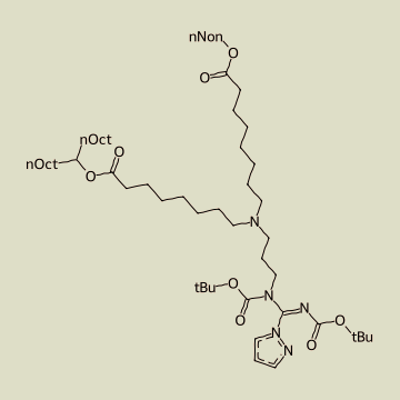 CCCCCCCCCOC(=O)CCCCCCCN(CCCCCCCC(=O)OC(CCCCCCCC)CCCCCCCC)CCCN(C(=O)OC(C)(C)C)/C(=N/C(=O)OC(C)(C)C)n1cccn1